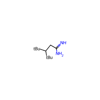 CC(C)(C)C(CC(=N)N)C(C)(C)C